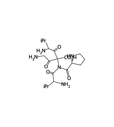 CC(C)C(N)C(=O)N(C(=O)C1CCCN1)C(C(=O)O)(C(=O)CN)C(=O)C(N)C(C)C